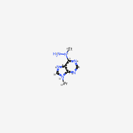 CCN(N)c1ncnc2c1ncn2C(C)C